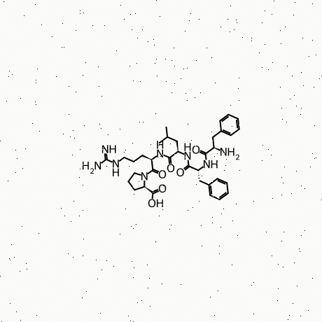 CC(C)C[C@@H](NC(=O)[C@@H](Cc1ccccc1)NC(=O)[C@H](N)Cc1ccccc1)C(=O)N[C@H](CCCNC(=N)N)C(=O)N1CCC[C@@H]1C(=O)O